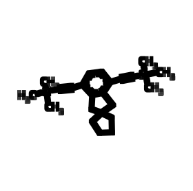 C[Si](C)(C)C#Cc1ccc(C#C[Si](C)(C)C)c2c1CC1(CCCC1)C2